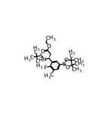 CCOC(=O)C[C@H](NSC(C)(C)C)c1cc(B2OC(C)(C)C(C)(C)O2)cc(C)c1F